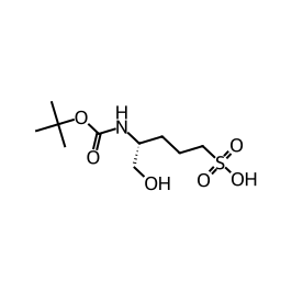 CC(C)(C)OC(=O)N[C@@H](CO)CCCS(=O)(=O)O